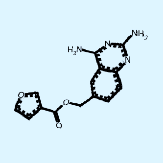 Nc1nc(N)c2cc(COC(=O)c3ccoc3)ccc2n1